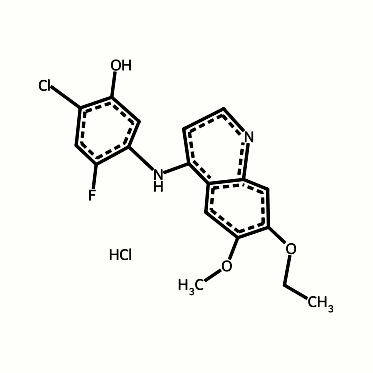 CCOc1cc2nccc(Nc3cc(O)c(Cl)cc3F)c2cc1OC.Cl